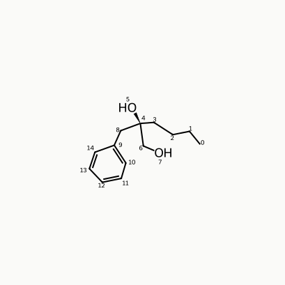 CCCC[C@](O)(CO)Cc1ccccc1